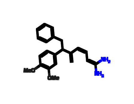 C=C(/C=C\C=C(N)N)C(Cc1ccccc1)c1ccc(OC)c(OC)c1